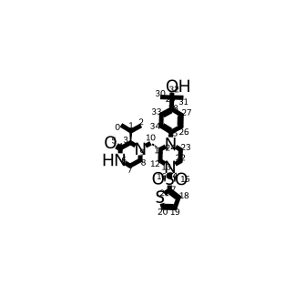 CC(C)[C@@H]1C(=O)NCCN1C[C@H]1CN(S(=O)(=O)c2cccs2)CCN1c1ccc(C(C)(C)O)cc1